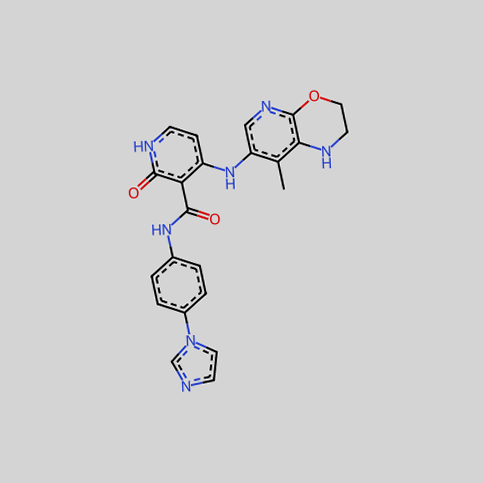 Cc1c(Nc2cc[nH]c(=O)c2C(=O)Nc2ccc(-n3ccnc3)cc2)cnc2c1NCCO2